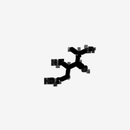 CCCN(C)C(=O)C(N)CC(=O)O